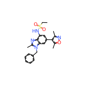 CCS(=O)(=O)Nc1cc(-c2c(C)noc2C)cc2c1nc(C)n2Cc1ccccc1